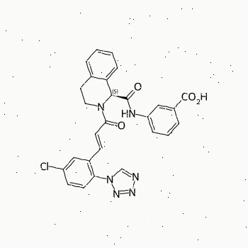 O=C(O)c1cccc(NC(=O)[C@@H]2c3ccccc3CCN2C(=O)C=Cc2cc(Cl)ccc2-n2cnnn2)c1